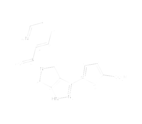 O=C(O)c1ccc(-c2n[nH]c3c2CN(C(=O)c2ccccn2)C3)s1